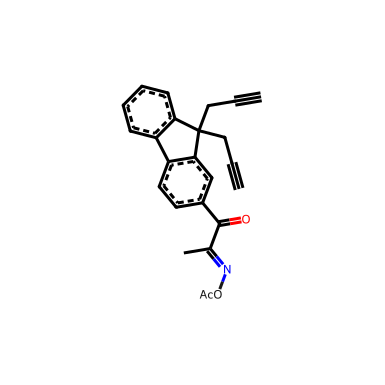 C#CCC1(CC#C)c2ccccc2-c2ccc(C(=O)/C(C)=N/OC(C)=O)cc21